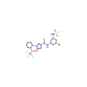 CS(=O)(=O)Nc1cc(Br)cc(NC(=O)c2cnn(-c3ccccc3C(O)C(F)(F)F)c2)c1